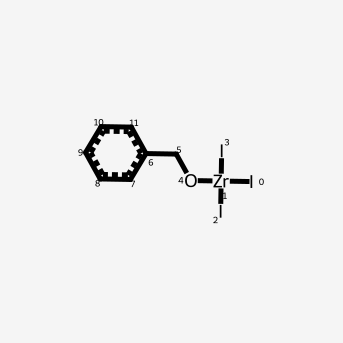 [I][Zr]([I])([I])[O]Cc1ccccc1